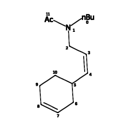 CCCCN(C/C=C\C1CC=CCC1)C(C)=O